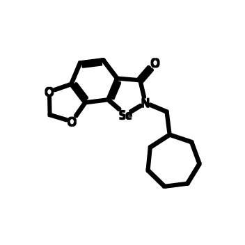 O=c1c2ccc3c(c2[se]n1CC1CCCCCC1)OCO3